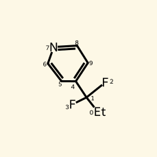 CCC(F)(F)c1ccncc1